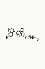 CC(COc1ncc(-c2ccnc3cc(F)ccc23)cc1Cl)CC(C)(C)N